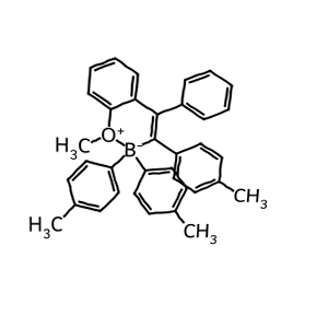 Cc1ccc(C2=C(c3ccccc3)c3ccccc3[O+](C)[B-]2(c2ccc(C)cc2)c2ccc(C)cc2)cc1